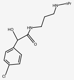 CCCNCCCNC(=O)C(O)c1ccc(Cl)cc1